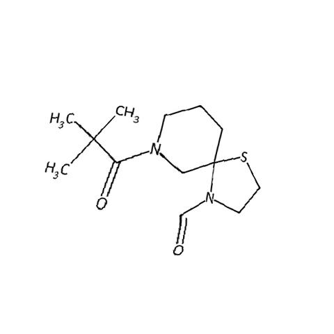 CC(C)(C)C(=O)N1CCCC2(C1)SCCN2C=O